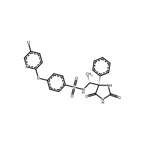 C[C@@H](NS(=O)(=O)c1ccc(Oc2ccc(Cl)cn2)cc1)[C@@]1(c2ccccc2)NC(=O)NC1=O